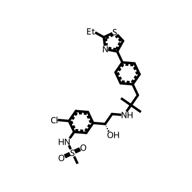 CCc1nc(-c2ccc(CC(C)(C)NC[C@H](O)c3ccc(Cl)c(NS(C)(=O)=O)c3)cc2)cs1